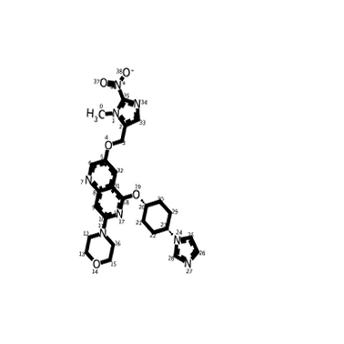 Cn1c(COc2cnc3cc(N4CCOCC4)nc(O[C@H]4CC[C@@H](n5ccnc5)CC4)c3c2)cnc1[N+](=O)[O-]